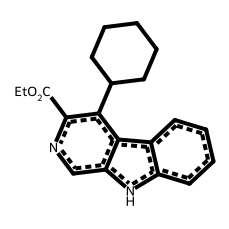 CCOC(=O)c1ncc2[nH]c3ccccc3c2c1C1CCCCC1